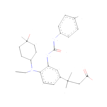 CCN(c1ccc(C(C)(C)CC(=O)O)cc1NC(=O)Nc1ccc(C)cc1)C1CCC(C)(O)CC1